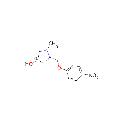 CN1C[C@@H](O)CC1COc1ccc([N+](=O)[O-])cc1